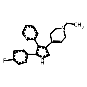 CCN1CC=C(c2c[nH]c(-c3ccc(F)cc3)c2-c2ccccn2)CC1